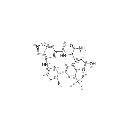 NC(=O)C(NC(=O)c1cc(NC2=NCC(F)CN2)c2cn[nH]c2c1)[C@@H](CC(=O)O)c1cccc(C(F)(F)F)c1